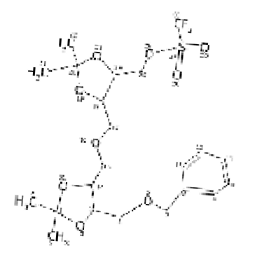 CC1(C)OC(COCc2ccccc2)C(COCC2OC(C)(C)OC2COS(=O)(=O)C(F)(F)F)O1